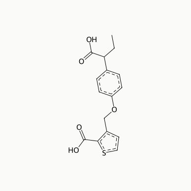 CCC(C(=O)O)c1ccc(OCc2ccsc2C(=O)O)cc1